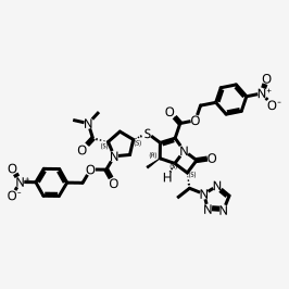 CC([C@H]1C(=O)N2C(C(=O)OCc3ccc([N+](=O)[O-])cc3)=C(S[C@H]3C[C@@H](C(=O)N(C)C)N(C(=O)OCc4ccc([N+](=O)[O-])cc4)C3)[C@H](C)[C@H]12)n1ncnn1